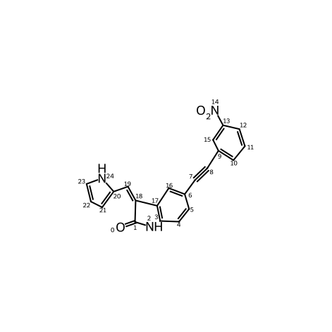 O=C1Nc2ccc(C#Cc3cccc([N+](=O)[O-])c3)cc2/C1=C/c1ccc[nH]1